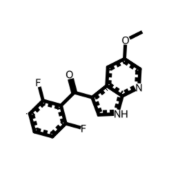 COc1cnc2[nH]cc(C(=O)c3c(F)[c]ccc3F)c2c1